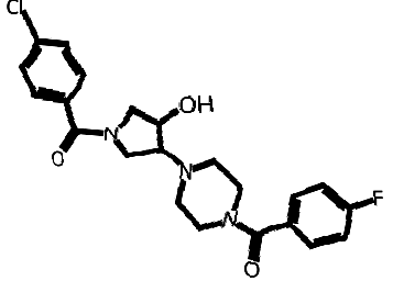 O=C(c1ccc(F)cc1)N1CCN(C2CN(C(=O)c3ccc(Cl)cc3)CC2O)CC1